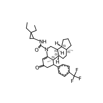 CCC1(CC)CC1NC(=O)N1C[C@H]2[C@@H]3CCC[C@@]3(C)CC[C@@H]2[C@]2(C)C1=CC(=O)CC2c1ccc(C(F)(F)F)cc1